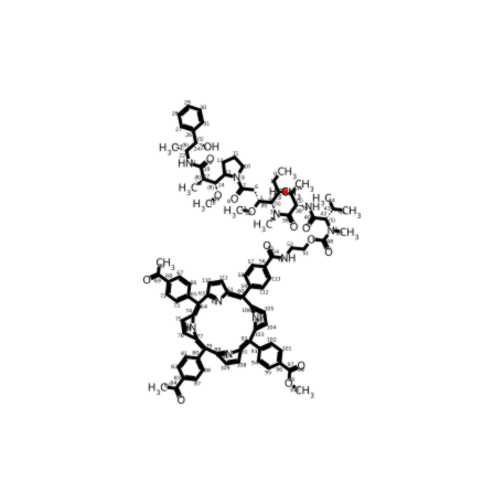 CC[C@H](C)[C@@H]([C@@H](CC(=O)N1CCCC1[C@H](OC)[C@@H](C)C(=O)N[C@H](C)[C@@H](O)c1ccccc1)OC)N(C)C(=O)[C@@H](NC(=O)[C@H](C(C)C)N(C)C(=O)OCCNC(=O)c1ccc(-c2c3nc(c(-c4ccc(C(C)=O)cc4)c4ccc([nH]4)c(-c4ccc(C(C)=O)cc4)c4nc(c(-c5ccc(C(=O)OC)cc5)c5ccc2[nH]5)C=C4)C=C3)cc1)C(C)C